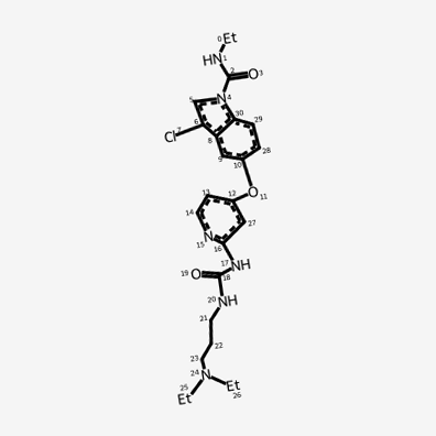 CCNC(=O)n1cc(Cl)c2cc(Oc3ccnc(NC(=O)NCCCN(CC)CC)c3)ccc21